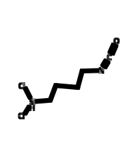 O=C=NCCCC[SiH](Cl)Cl